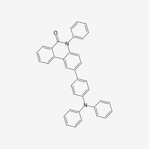 O=c1c2ccccc2c2cc(-c3ccc(N(c4ccccc4)c4ccccc4)cc3)ccc2n1-c1ccccc1